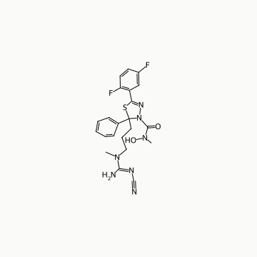 CN(O)C(=O)N1N=C(c2cc(F)ccc2F)SC1(CCCN(C)C(N)=NC#N)c1ccccc1